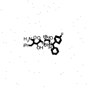 CC(C)CC(C(N)=O)[C@H](O)C(=O)N(O)[C@H](C(=O)NC(c1ccccc1)c1ccc(F)cc1)C(C)(C)C